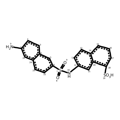 Nc1ccc2cc(S(=O)(=O)Nc3ccc4cccc(S(=O)(=O)O)c4c3)ccc2c1